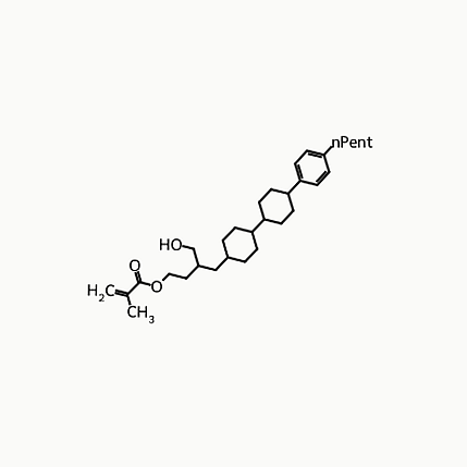 C=C(C)C(=O)OCCC(CO)CC1CCC(C2CCC(c3ccc(CCCCC)cc3)CC2)CC1